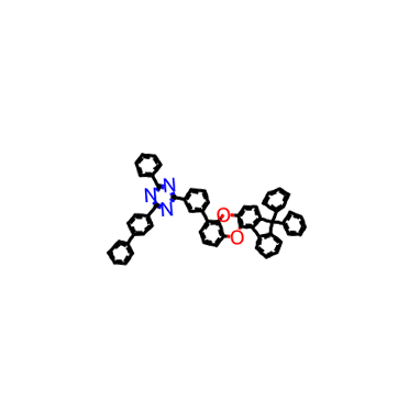 c1ccc(-c2ccc(-c3nc(-c4ccccc4)nc(-c4cccc(-c5cccc6c5Oc5ccc7c(c5O6)-c5ccccc5C7(c5ccccc5)c5ccccc5)c4)n3)cc2)cc1